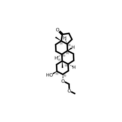 COCO[C@H]1C[C@@H]2CC[C@@H]3[C@H](CC[C@]4(C)C(=O)CC[C@@H]34)[C@@]2(C)C[C@@H]1O